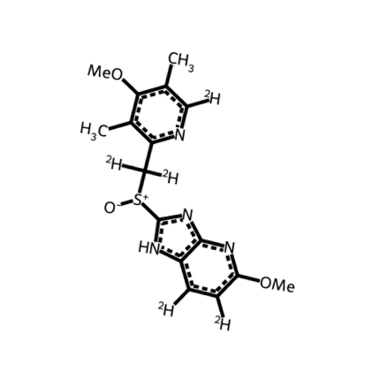 [2H]c1nc(C([2H])([2H])[S+]([O-])c2nc3nc(OC)c([2H])c([2H])c3[nH]2)c(C)c(OC)c1C